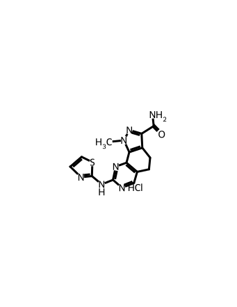 Cl.Cn1nc(C(N)=O)c2c1-c1nc(Nc3nccs3)ncc1CC2